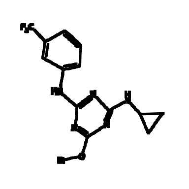 CCOc1nc(Nc2cccc(C(F)(F)F)c2)nc(NC2CC2)n1